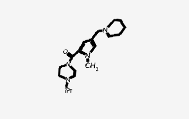 CC(C)N1CCN(C(=O)c2cc(CN3CCCCC3)cn2C)CC1